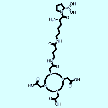 N[C@@H](CCCCNC(=O)CCCNC(=O)CN1CCN(CC(=O)O)CCN(CC(=O)O)CCN(CC(=O)O)CC1)C(=O)N1CCC[C@H]1N(O)O